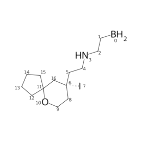 BCCNCC[C@@]1(I)CCOC2(CCCC2)C1